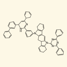 C1=CCC(C2=CC(c3cccc(-c4ccccc4)c3)NC(c3cccc(-n4c5c(c6c4CC4C(=C6)N(c6nc(-c7ccccc7)nc(-c7ccccc7)n6)C6=C4C=CCC6)C=CCC5)c3)=N2)C=C1